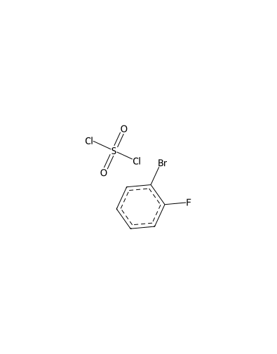 Fc1ccccc1Br.O=S(=O)(Cl)Cl